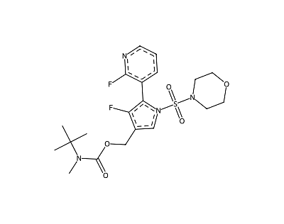 CN(C(=O)OCc1cn(S(=O)(=O)N2CCOCC2)c(-c2cccnc2F)c1F)C(C)(C)C